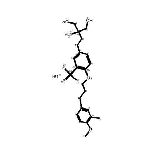 COc1ccc(CCCOc2ccc(CCC(N)(CO)CO)cc2C(F)(F)F)cc1C.Cl